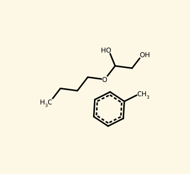 CCCCOC(O)CO.Cc1ccccc1